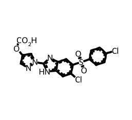 O=C(O)Oc1cnn(-c2nc3cc(S(=O)(=O)c4ccc(Cl)cc4)c(Cl)cc3[nH]2)c1